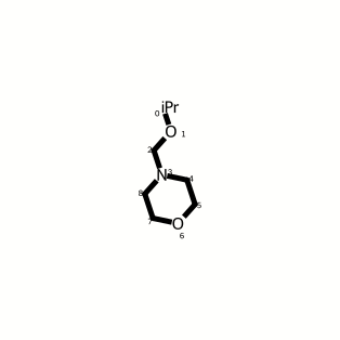 CC(C)OCN1CCOCC1